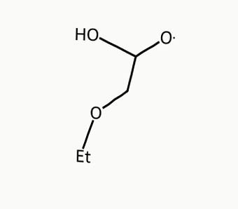 CCOCC([O])O